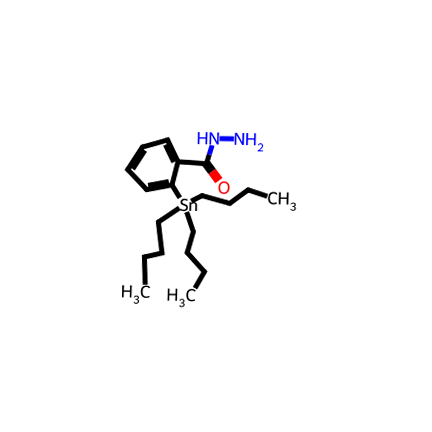 CCC[CH2][Sn]([CH2]CCC)([CH2]CCC)[c]1ccccc1C(=O)NN